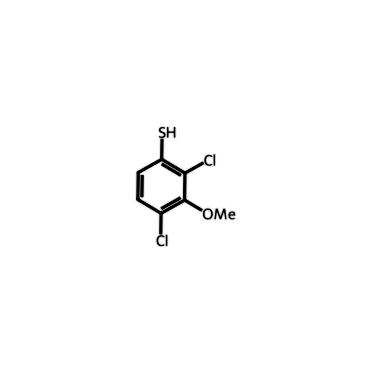 COc1c(Cl)ccc(S)c1Cl